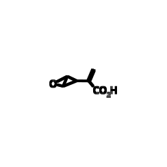 C=C(C(=O)O)C1C2OC21